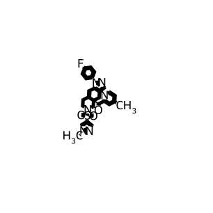 Cc1ccnc(C(=O)[C@]23Cc4cnn(-c5ccc(F)cc5)c4C=C2CCN(S(=O)(=O)c2cnn(C)c2)C3)c1